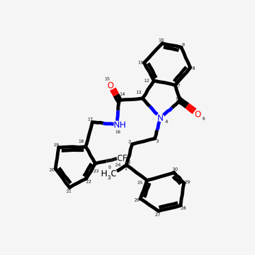 CC(CCN1C(=O)c2ccccc2C1C(=O)NCc1ccccc1C(F)(F)F)c1ccccc1